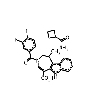 CC1CN(C(=O)c2ccc(F)c(F)c2)C=C(C(=O)O)c2[nH]c3ccccc3c21.NC(=O)C1CCC1